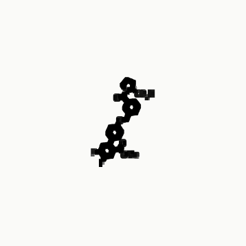 COC(=O)c1cc(F)c(F)cc1-c1ccc(OCc2cccc(C(=O)N3CCC[C@H]3C(=O)O)c2)cc1